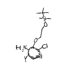 CC(C)(C)[Si](C)(C)OCCOc1c(Cl)ncc(I)c1N